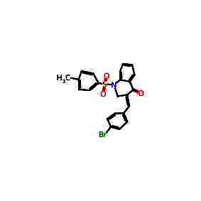 Cc1ccc(S(=O)(=O)N2C/C(=C\c3ccc(Br)cc3)C(=O)c3ccccc32)cc1